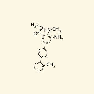 CNc1c(N)cc(-c2ccc(-c3ccccc3C)cc2)cc1C(=O)OC